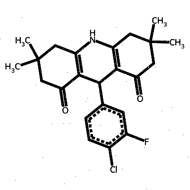 CC1(C)CC(=O)C2=C(C1)NC1=C(C(=O)CC(C)(C)C1)C2c1ccc(Cl)c(F)c1